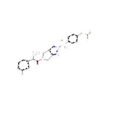 NC(C(=O)N1Cc2cn(S(=O)(=O)c3ccc(OC(F)F)cc3)nc2C1)c1cccc(F)c1